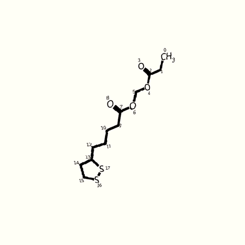 CCC(=O)OCOC(=O)CCCCC1CCSS1